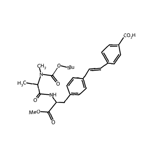 COC(=O)C(Cc1ccc(C=Cc2ccc(C(=O)O)cc2)cc1)NC(=O)C(C)N(C)C(=O)OC(C)(C)C